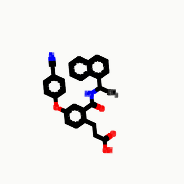 CC(NC(=O)c1cc(Oc2ccc(C#N)cc2)ccc1CCC(=O)O)c1cccc2ccccc12